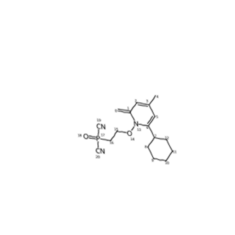 C=C1C=C(C)C=C(C2CCCCC2)N1OCCP(=O)(C#N)C#N